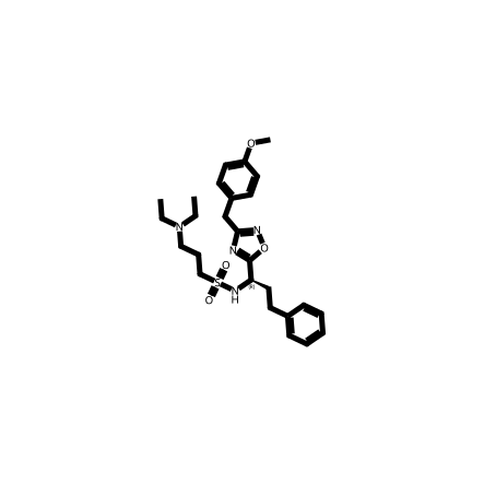 CCN(CC)CCCS(=O)(=O)N[C@H](CCc1ccccc1)c1nc(Cc2ccc(OC)cc2)no1